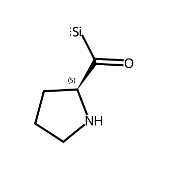 O=C([Si])[C@@H]1CCCN1